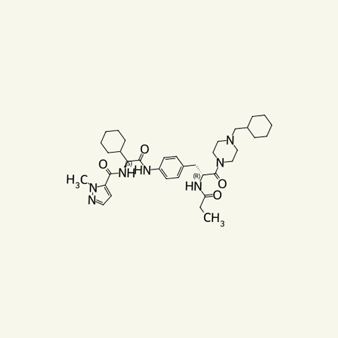 CCC(=O)N[C@H](Cc1ccc(NC(=O)[C@@H](NC(=O)c2ccnn2C)C2CCCCC2)cc1)C(=O)N1CCN(CC2CCCCC2)CC1